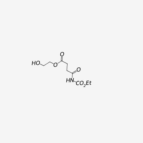 CCOC(=O)NC(=O)CCC(=O)OCCO